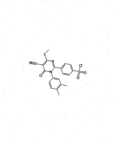 CSc1nc(-c2ccc(S(=O)(=O)Cl)cc2)n(-c2ccc(C)c(C)c2)c(=O)c1C#N